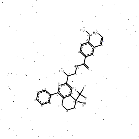 C/C=C\c1cc(C(=O)NCC(O)c2cc3c(c(-c4ccccc4)n2)OCC[C@@]3(O)C(F)(F)F)ccc1NC